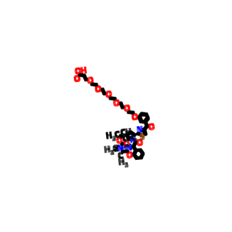 CC(C(=O)NC(C(=O)N1CCC[C@H]1c1nc(C(=O)c2cccc(OCCOCCOCCOCCOCCOCCC(=O)O)c2)cs1)C1CCCCC1)N(C)C(=O)OC(C)(C)C